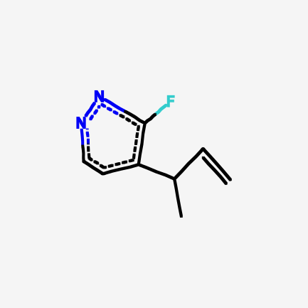 C=CC(C)c1ccnnc1F